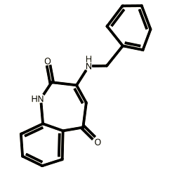 O=c1[nH]c2ccccc2c(=O)cc1NCc1ccccc1